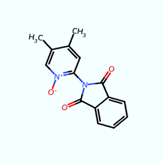 Cc1cc(N2C(=O)c3ccccc3C2=O)[n+]([O-])cc1C